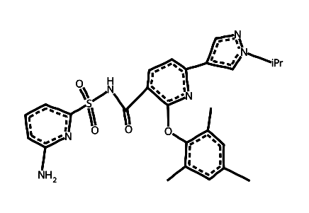 Cc1cc(C)c(Oc2nc(-c3cnn(C(C)C)c3)ccc2C(=O)NS(=O)(=O)c2cccc(N)n2)c(C)c1